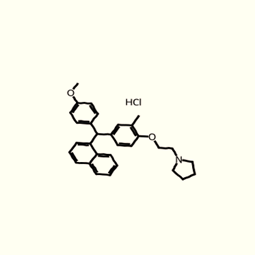 COc1ccc(C(c2ccc(OCCN3CCCC3)c(C)c2)c2cccc3ccccc23)cc1.Cl